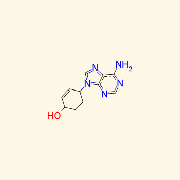 Nc1ncnc2c1ncn2C1C=CC(O)CC1